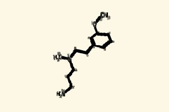 COc1cccc(CCN(C)CCCN)c1